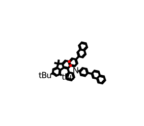 CC(C)(C)c1cc(C(C)(C)C)c2c(c1)C(C)(C)c1cccc(-c3ccccc3N(c3ccc(-c4ccc5ccccc5c4)cc3)c3cccc(-c4ccc5ccccc5c4)c3)c1-2